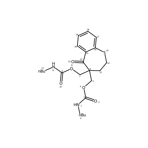 CCCCNC(=O)OCC1(COC(=O)NCCCC)CCSc2ccccc2C1=O